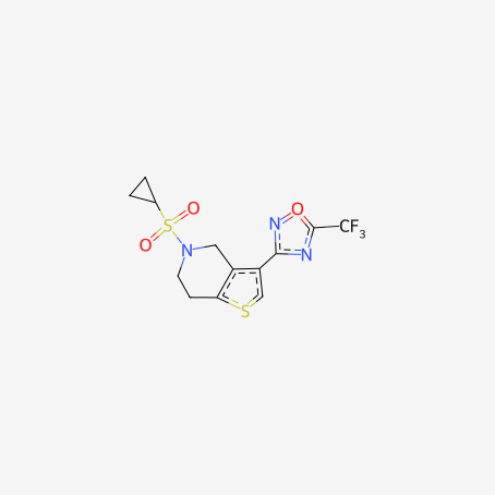 O=S(=O)(C1CC1)N1CCc2scc(-c3noc(C(F)(F)F)n3)c2C1